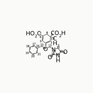 CC1(C(=O)O)C=CC=C(C(=O)O)C1.O=C1CN(COCc2ccccc2)C(=O)N1